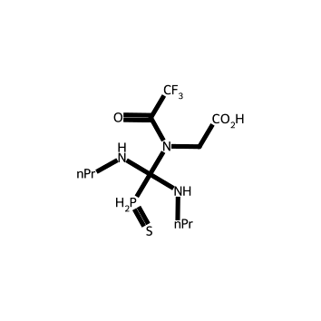 CCCNC(NCCC)([PH2]=S)N(CC(=O)O)C(=O)C(F)(F)F